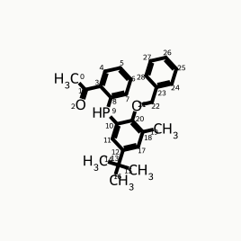 CC(=O)c1ccccc1Pc1cc(C(C)(C)C)cc(C)c1OCc1ccccc1